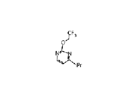 CC(C)c1ccnc(OCC(F)(F)F)n1